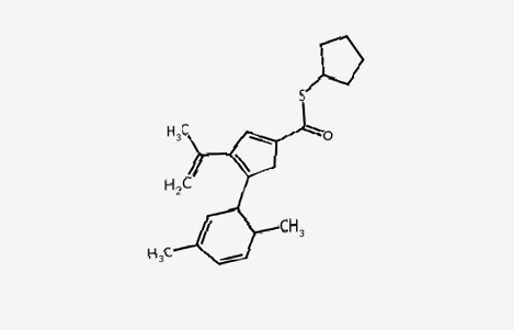 C=C(C)C1=C(C2C=C(C)C=CC2C)CC(C(=O)SC2CCCC2)=C1